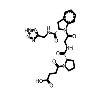 O=C(O)CCC(=O)N1CCC[C@H]1C(=O)NCC(=O)N1c2ccccc2C[C@H]1C(=O)NCc1nn[nH]n1